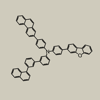 c1cc(-c2cccc(N(c3ccc(-c4ccc5c(ccc6ccccc65)c4)cc3)c3ccc(-c4ccc5c(c4)oc4ccccc45)cc3)c2)cc(-c2cccc3ccccc23)c1